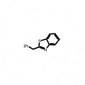 CC(C)Cc1nc2c[c]ccc2s1